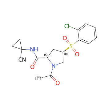 CC(C)C(=O)N1C[C@H](S(=O)(=O)c2ccccc2Cl)C[C@H]1C(=O)NC1(C#N)CC1